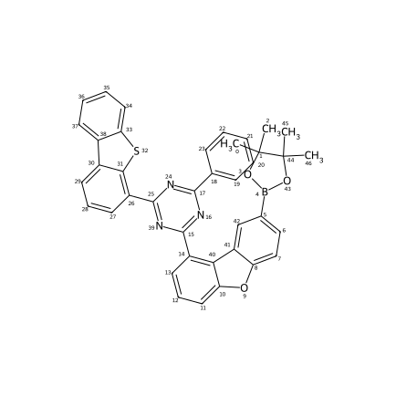 CC1(C)OB(c2ccc3oc4cccc(-c5nc(-c6ccccc6)nc(-c6cccc7c6sc6ccccc67)n5)c4c3c2)OC1(C)C